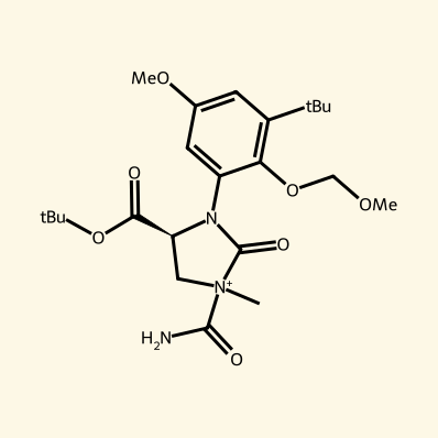 COCOc1c(N2C(=O)[N+](C)(C(N)=O)C[C@H]2C(=O)OC(C)(C)C)cc(OC)cc1C(C)(C)C